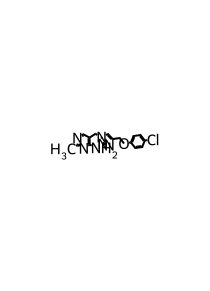 Cc1ncc(Cn2cc(COc3ccc(Cl)cc3)nn2)c(N)n1